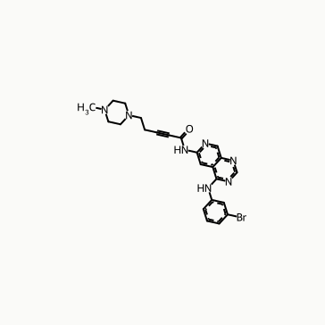 CN1CCN(CCC#CC(=O)Nc2cc3c(Nc4cccc(Br)c4)ncnc3cn2)CC1